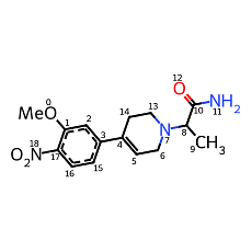 COc1cc(C2=CCN(C(C)C(N)=O)CC2)ccc1[N+](=O)[O-]